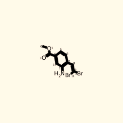 COC(=O)c1ccc(C=C(Br)Br)c(N)c1